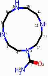 NC(=O)N1CCNCCNCCNCC1